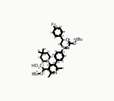 Cc1nc(C)c(C(OC(C)(C)C)C(=O)O)c(N2CCC(C)(C)CC2)c1-c1ccc(/S(CCc2ccc(F)cc2)=N/C(=O)OC(C)(C)C)cc1